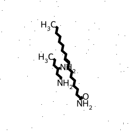 CCCC(N)CCN.CCCCCCCCC=CCCCCCCCC(N)=O